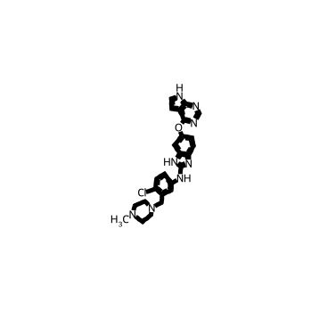 CN1CCN(Cc2cc(Nc3nc4ccc(Oc5ncnc6[nH]ccc56)cc4[nH]3)ccc2Cl)CC1